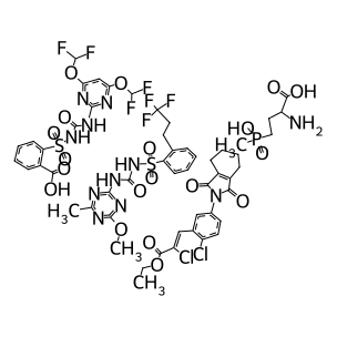 CCOC(=O)/C(Cl)=C/c1cc(N2C(=O)C3=C(CCCC3)C2=O)ccc1Cl.COc1nc(C)nc(NC(=O)NS(=O)(=O)c2ccccc2CCC(F)(F)F)n1.CP(=O)(O)CCC(N)C(=O)O.O=C(Nc1nc(OC(F)F)cc(OC(F)F)n1)NS(=O)(=O)c1ccccc1C(=O)O